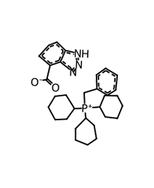 O=C([O-])c1cccc2[nH]nnc12.c1ccc(C[P+](C2CCCCC2)(C2CCCCC2)C2CCCCC2)cc1